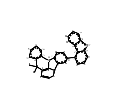 CC1(C)C2=C3C(CC=C2)c2cc(-c4cccc5sc6ccccc6c45)ccc2N3c2ccccc21